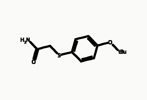 CC(C)(C)Oc1ccc(SCC(N)=O)cc1